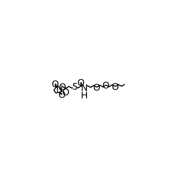 CCCOCCOCCOCCCNC(=O)CSCCC(=O)ON1C(=O)CCC1=O